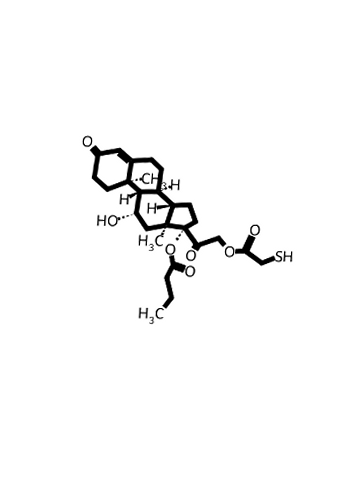 CCCC(=O)O[C@@]1(C(=O)COC(=O)CS)CC[C@H]2[C@@H]3CCC4=CC(=O)CC[C@]4(C)[C@H]3[C@@H](O)C[C@@]21C